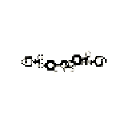 O=C(NC1CCOCC1)c1ccc2c(c1)sc1nc(-c3ccc(OC(=O)N4CCOCC4)cc3F)cn12